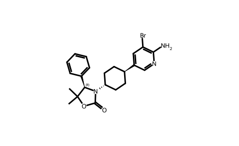 CC1(C)OC(=O)N([C@H]2CC[C@H](c3cnc(N)c(Br)c3)CC2)[C@@H]1c1ccccc1